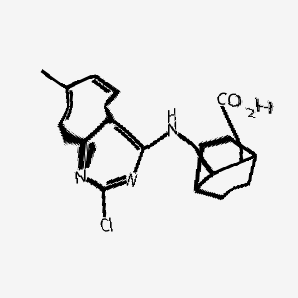 Cc1ccc2c(NC3C4CCC(CC4)C3C(=O)O)nc(Cl)nc2c1